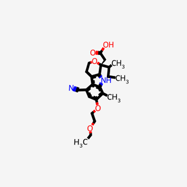 CCOCCOc1cc(C#N)c2c3c([nH]c2c1C)[C@@](CC(=O)O)(C(C)CC)OCC3